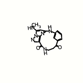 CNc1cc2nc3c(cnn13)C(=O)NCCC(=O)c1cccc(c1)N2